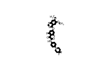 COc1cc2ncnc(Oc3cc(F)c(C(=O)C(=O)Nc4ccc(N5CCC(F)(F)CC5)cc4)c(F)c3)c2cc1OC